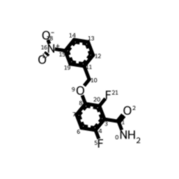 NC(=O)c1c(F)ccc(OCc2cccc([N+](=O)[O-])c2)c1F